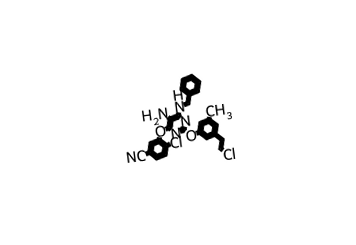 Cc1cc(CCCl)cc(Oc2nc(NCc3ccccc3)c(N)c(Oc3cc(C#N)ccc3Cl)n2)c1